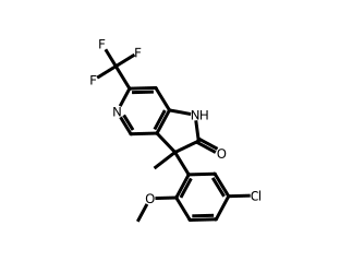 COc1ccc(Cl)cc1C1(C)C(=O)Nc2cc(C(F)(F)F)ncc21